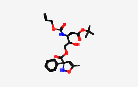 C=CCOC(=O)N[C@@H](CC(=O)OC(C)(C)C)C(O)COC(=O)C1(c2ccccc2)C=C(C)ON1